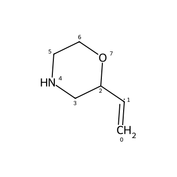 C=[C]C1CNCCO1